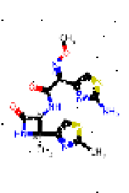 CO/N=C(/C(=O)N[C@@H]1C(=O)N[C@]1(C)c1csc(C)n1)c1csc(N)n1